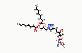 CCCCCCCC(=O)OCC(Cn1cc(CCC(=O)C(C)(C)OCN(C)OC)nn1)OC(=O)CCCCCCC